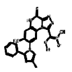 CCO/C(c1nnc2c(=O)[nH]c3cc(C(F)(F)F)c(-n4cc(C)nc4-c4ccccc4)cc3n12)=[P+](\[O-])O